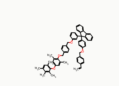 C=Cc1ccc(COc2ccc(C3(c4cccc(OCc5ccc(COc6c(C)cc(Oc7c(C)cc(C)c(C)c7C)cc6C)cc5)c4)c4ccccc4-c4ccccc43)cc2)cc1